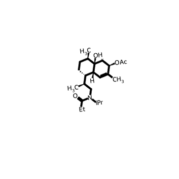 CCC(=O)N(C[C@@H](C)[C@@H]1CC[C@@H](C)[C@]2(O)[C][C@@H](OC(C)=O)C(C)=C[C@H]12)C(C)C